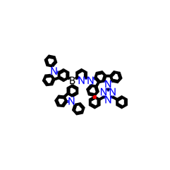 c1ccc(-c2nc(-c3ccccc3)nc(-n3c4ccccc4c4ccc5c(c6ccccc6n5-c5cccc(B(c6ccc7c(c6)c6ccccc6n7-c6ccccc6)c6ccc7c(c6)c6ccccc6n7-c6ccccc6)n5)c43)n2)cc1